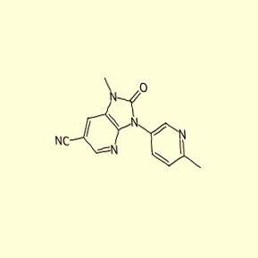 Cc1ccc(-n2c(=O)n(C)c3cc(C#N)cnc32)cn1